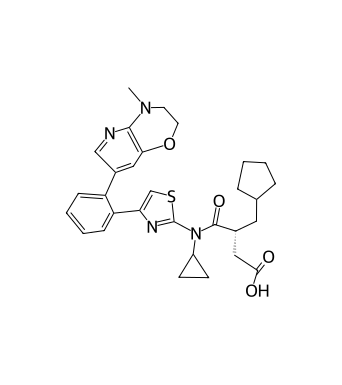 CN1CCOc2cc(-c3ccccc3-c3csc(N(C(=O)[C@@H](CC(=O)O)CC4CCCC4)C4CC4)n3)cnc21